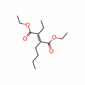 CCCCC(C(=O)OCC)=C(CC)C(=O)OCC